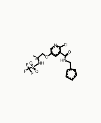 C[C@@H](COc1cnc(Cl)c(C(=O)NCc2ccccc2)c1)NS(=O)(=O)C(F)(F)F